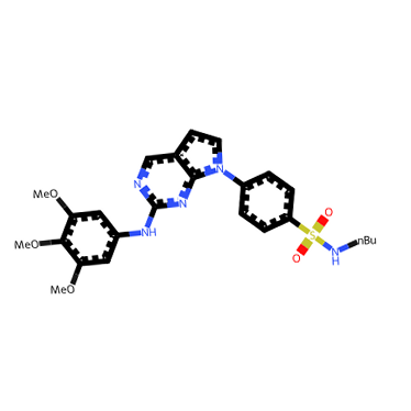 CCCCNS(=O)(=O)c1ccc(-n2ccc3cnc(Nc4cc(OC)c(OC)c(OC)c4)nc32)cc1